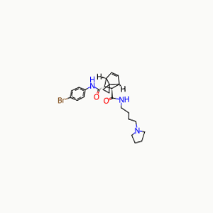 O=C(NCCCCN1CCCC1)[C@H]1[C@H](C(=O)Nc2ccc(Br)cc2)[C@@H]2C=C[C@H]1C21CC1